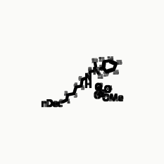 CCCCCCCCCCCCCCCCNC[N+](C)(C)c1ccccc1.COS(=O)(=O)[O-]